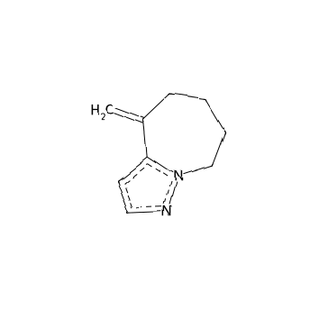 C=C1CCCCn2nccc21